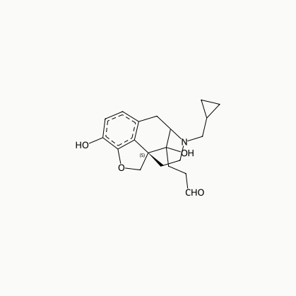 O=CCCC1(O)C2Cc3ccc(O)c4c3[C@@]1(CCN2CC1CC1)CO4